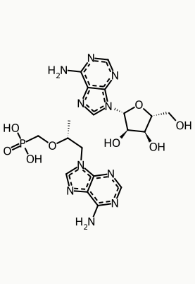 C[C@H](Cn1cnc2c(N)ncnc21)OCP(=O)(O)O.Nc1ncnc2c1ncn2[C@@H]1O[C@H](CO)[C@@H](O)[C@H]1O